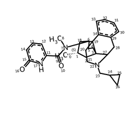 C[C@H]1CC23CCC(N(C)C(=O)c4cccc(=O)[nH]4)C1C21CCN(CC2CC2)C3Cc2ccccc21